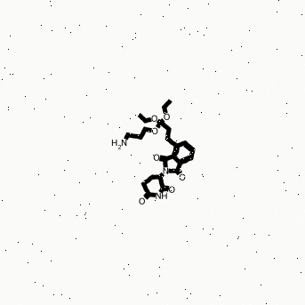 CCOC(CCc1cccc2c1C(=O)N(C1CCC(=O)NC1=O)C2=O)(OCC)OCCCN